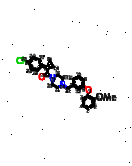 COc1ccccc1Oc1cccc(CN2CCN(C(=O)C3(c4ccc(Cl)cc4)CC3)CC2)c1